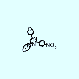 O=[N+]([O-])c1ccc(-c2nc(C3=CCOCC3)cc(N3C4CCC3COC4)n2)cc1